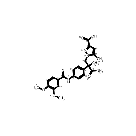 COc1ccc(C(=O)Nc2ccc(C(C)(Cn3nc(C(=O)O)cc3C)C(N)=O)cc2)cc1OC